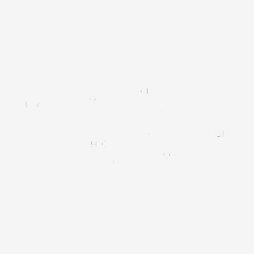 CC(=O)c1cc2c(=O)c3cc(O)ccc3oc2c(C(C)=O)c1-c1coc2cc(C)ccc2c1=O